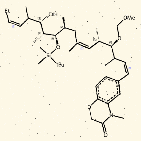 CC/C=C\C(C)[C@H](O)[C@@H](C)[C@H](O[Si](C)(C)C(C)(C)C)[C@@H](C)C/C(C)=C\[C@H](C)[C@@H](OCOC)C(C)/C=C\c1ccc2c(c1)N(C)C(=O)CO2